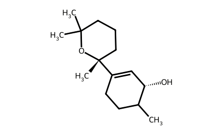 CC1CCC([C@@]2(C)CCCC(C)(C)O2)=C[C@@H]1O